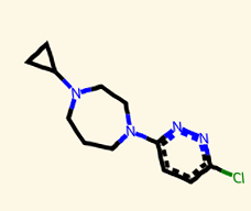 Clc1ccc(N2CCCN(C3CC3)CC2)nn1